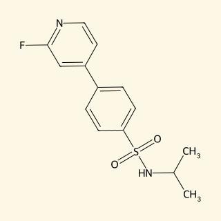 CC(C)NS(=O)(=O)c1ccc(-c2ccnc(F)c2)cc1